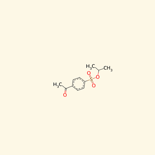 CC(=O)c1ccc(S(=O)(=O)OC(C)C)cc1